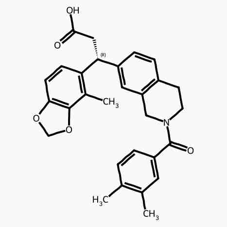 Cc1ccc(C(=O)N2CCc3ccc([C@@H](CC(=O)O)c4ccc5c(c4C)OCO5)cc3C2)cc1C